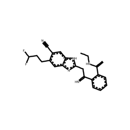 C=C(NCC)c1ccccc1C(=N)Cc1nc2cc(CCC(F)F)c(C#N)cc2[nH]1